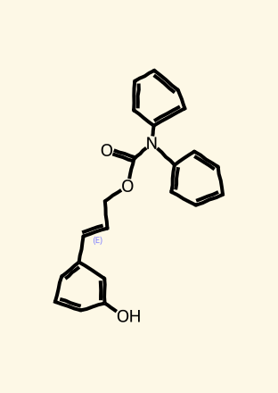 O=C(OC/C=C/c1cccc(O)c1)N(c1ccccc1)c1ccccc1